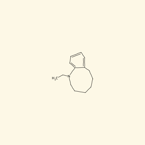 CCN1CCCCCCc2ccccc21